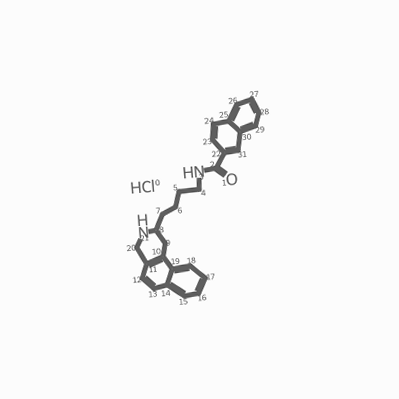 Cl.O=C(NCCCCC1Cc2c(ccc3ccccc23)CN1)c1ccc2ccccc2c1